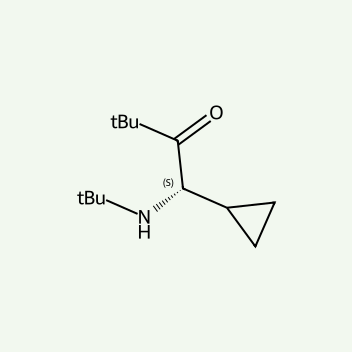 CC(C)(C)N[C@H](C(=O)C(C)(C)C)C1CC1